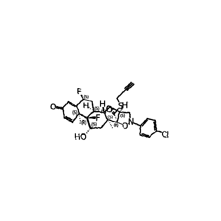 C#CCSC(=O)[C@@]12ON(c3ccc(Cl)cc3)C[C@@H]1C[C@H]1[C@@H]3C[C@H](F)C4=CC(=O)C=C[C@]4(C)[C@@]3(F)[C@@H](O)C[C@@]12C